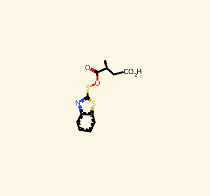 CC(CC(=O)O)C(=O)OSc1nc2ccccc2s1